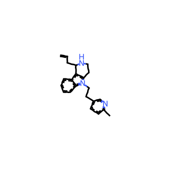 C=CCC1NCCc2c1c1ccccc1n2CCc1ccc(C)nc1